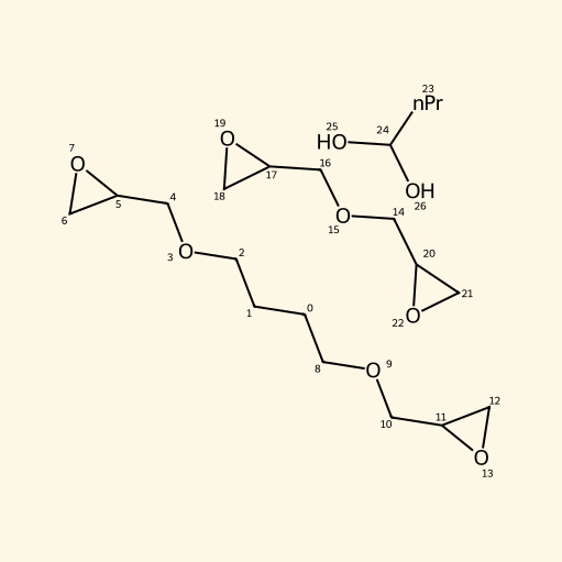 C(CCOCC1CO1)COCC1CO1.C(OCC1CO1)C1CO1.CCCC(O)O